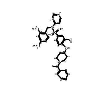 COc1ccc(CN(c2ccncn2)S(=O)(=O)c2ccc(OC3CCN(C(C)c4ccccc4)CC3)c(Cl)c2)c(OC)c1